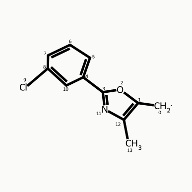 [CH2]c1oc(-c2cccc(Cl)c2)nc1C